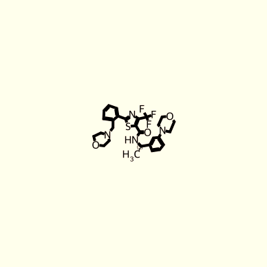 C[C@H](NC(=O)c1sc(-c2ccccc2CN2CCOCC2)nc1C(F)(F)F)c1cccc(N2CCOCC2)c1